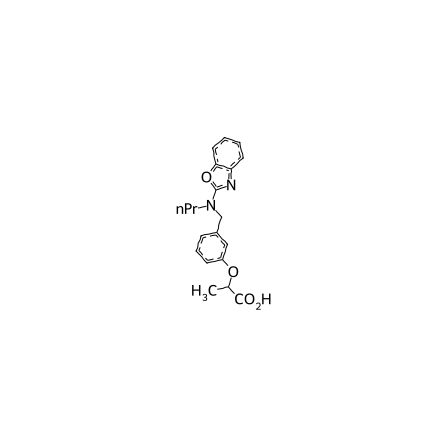 CCCN(Cc1cccc(OC(C)C(=O)O)c1)c1nc2ccccc2o1